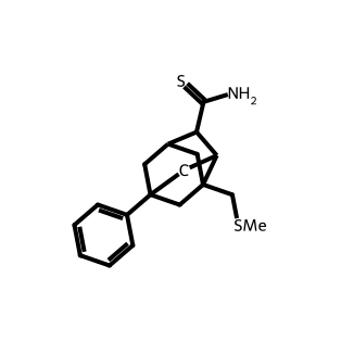 CSCC12CC3CC(c4ccccc4)(CC1C3C(N)=S)C2